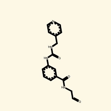 O=C[CH]NC(=O)c1cccc(NC(=O)NCc2ccncc2)c1